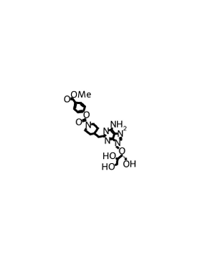 COC(=O)c1ccc(OC(=O)N2CCC(Cc3nc(N)c4ncn(CO[C@H](CO)C(O)CO)c4n3)CC2)cc1